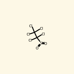 O=[SH](=O)C(Cl)(Cl)C(Cl)(Cl)Cl